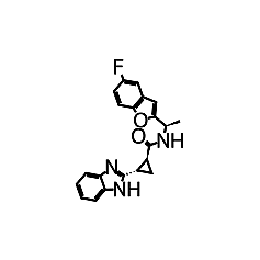 C[C@@H](NC(=O)[C@H]1C[C@@H]1c1nc2ccccc2[nH]1)c1cc2cc(F)ccc2o1